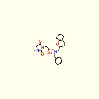 O=C1CNC(=O)N1CC(O)CN(Cc1ccccc1)CC1CCc2ccccc2O1